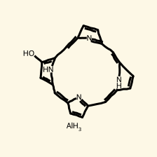 Oc1cc2cc3nc(cc4ccc(cc5nc(cc1[nH]2)C=C5)[nH]4)C=C3.[AlH3]